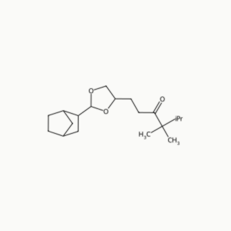 CC(C)C(C)(C)C(=O)CCC1COC(C2CC3CCC2C3)O1